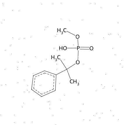 COP(=O)(O)OC(C)(C)c1ccccc1